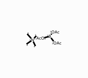 CC(=O)OB(OC(C)=O)OC(C)=O.C[N+](C)(C)C